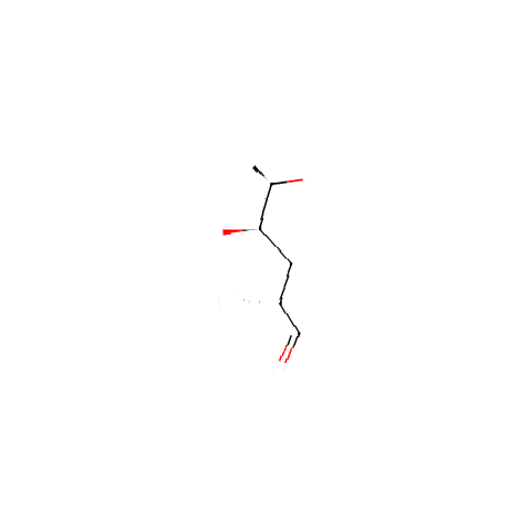 C[C@@H](O)[C@H](O)C[C@@H](O)C=O